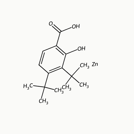 CC(C)(C)c1ccc(C(=O)O)c(O)c1C(C)(C)C.[Zn]